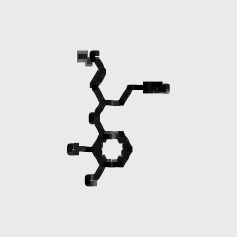 CC=CC(CCNC)Oc1cccc(Cl)c1Cl